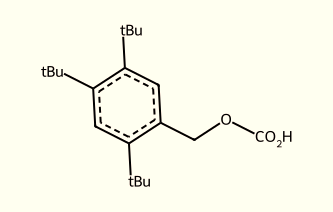 CC(C)(C)c1cc(C(C)(C)C)c(C(C)(C)C)cc1COC(=O)O